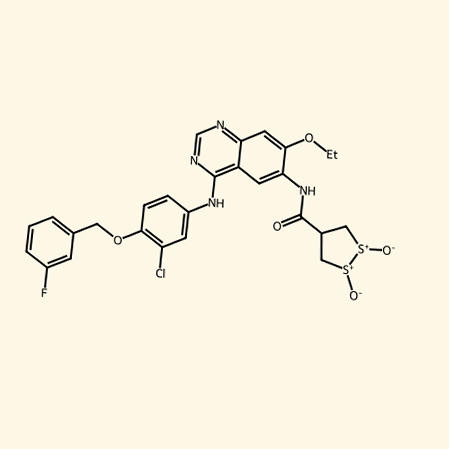 CCOc1cc2ncnc(Nc3ccc(OCc4cccc(F)c4)c(Cl)c3)c2cc1NC(=O)C1C[S+]([O-])[S+]([O-])C1